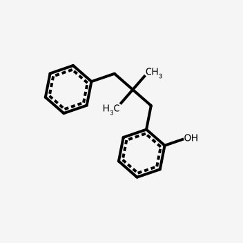 CC(C)(Cc1ccccc1)Cc1ccccc1O